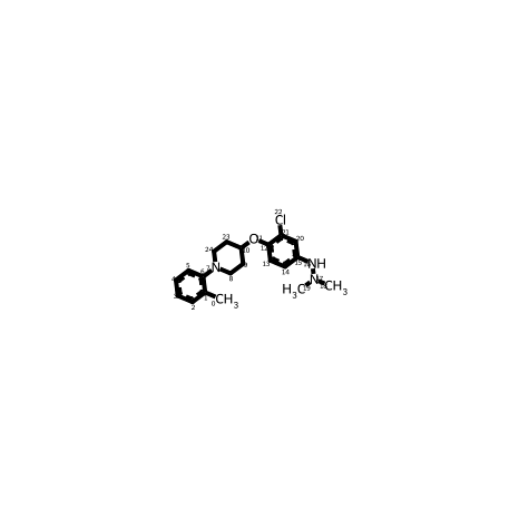 Cc1ccccc1N1CCC(Oc2ccc(NN(C)C)cc2Cl)CC1